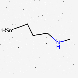 CNCC[CH2][SnH]